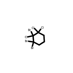 ClC1(Cl)CCCC(Br)(Br)C1(Cl)Br